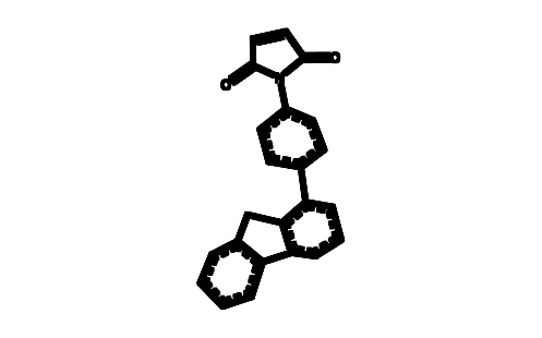 O=C1C=CC(=O)N1c1ccc(-c2cccc3c2Cc2ccccc2-3)cc1